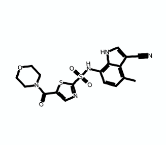 Cc1ccc(NS(=O)(=O)c2ncc(C(=O)N3CCOCC3)s2)c2[nH]cc(C#N)c12